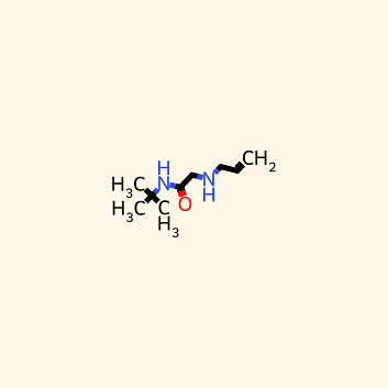 C=CCNCC(=O)NC(C)(C)C